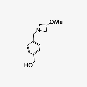 COC1CN(Cc2ccc(CO)cc2)C1